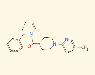 O=C(C1CCN(c2ccc(C(F)(F)F)cn2)CC1)N1C=C=CCC1c1ccccc1